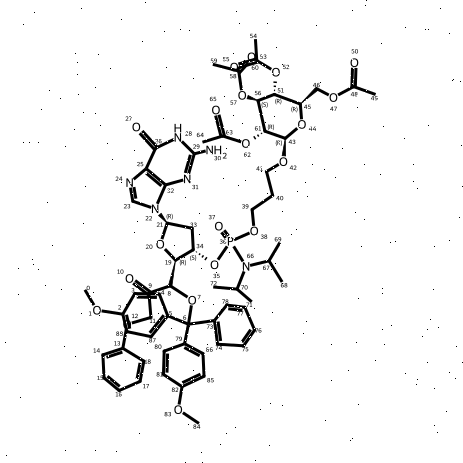 COc1ccc(C(OC(C(=O)COc2ccccc2)[C@H]2O[C@@H](n3cnc4c(=O)[nH]c(N)nc43)C[C@@H]2OP(=O)(OCCCO[C@@H]2O[C@H](COC(C)=O)[C@@H](OC(C)=O)[C@H](OC(C)=O)[C@H]2OC(C)=O)N(C(C)C)C(C)C)(c2ccccc2)c2ccc(OC)cc2)cc1